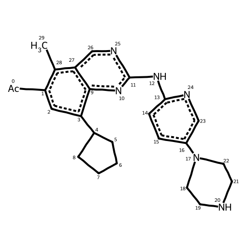 CC(=O)c1cc(C2CCCC2)c2nc(Nc3ccc(N4CCNCC4)cn3)ncc2c1C